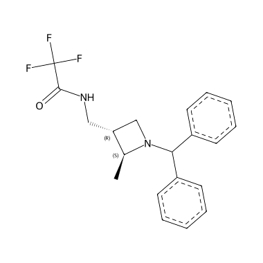 C[C@H]1[C@H](CNC(=O)C(F)(F)F)CN1C(c1ccccc1)c1ccccc1